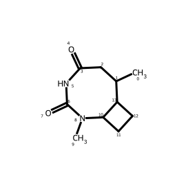 CC1CC(=O)NC(=O)N(C)C2CCC12